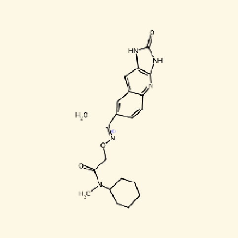 CN(C(=O)CO/N=C/c1ccc2nc3[nH]c(=O)[nH]c3cc2c1)C1CCCCC1.O